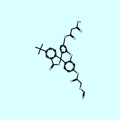 CC(C)(C)c1ccc2c(c1)C(=O)OC21c2ccc(OC(=O)COC=O)cc2Oc2cc(OC(=O)CC(=O)O)ccc21